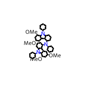 COc1cc(OC)c2c(c1)c1c(N(c3ccccc3)c3cccc4c3c3cc(OC)cc(OC)c3n4-c3ccccc3)cccc1n2-c1ccccc1